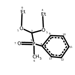 CCOC(OCC)P(C)(=O)c1ccccc1